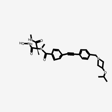 CNC(=O)[C@@](C)(C(=O)NO)N(C)C(=O)c1ccc(C#Cc2ccc(CN3CC(OC(C)C)C3)cc2)cc1